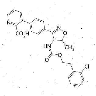 Cc1onc(-c2ccc(-c3cccnc3C(=O)O)cc2)c1NC(=O)OCCc1ccccc1Cl